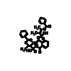 CC(OC(=O)c1ccccc1)=C(C)P(=O)(O)OC(=O)c1ccccc1C(=O)OP(=O)(O)C(C)=C(C)OC(=O)c1ccccc1